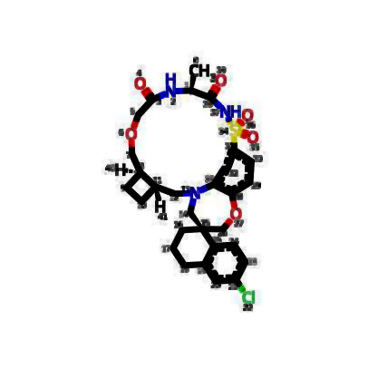 C[C@@H]1NC(=O)COC[C@@H]2CC[C@H]2CN2C[C@@]3(CCCc4cc(Cl)ccc43)COc3ccc(cc32)S(=O)(=O)NC1=O